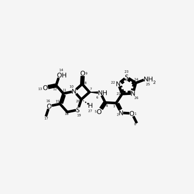 CO/N=C(/C(=O)N[C@@H]1C(=O)N2C(C(=O)O)=C(OC)CS[C@H]12)c1nsc(N)n1